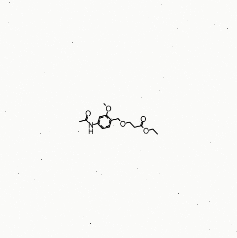 CCOC(=O)CCOCc1ccc(NC(C)=O)cc1OC